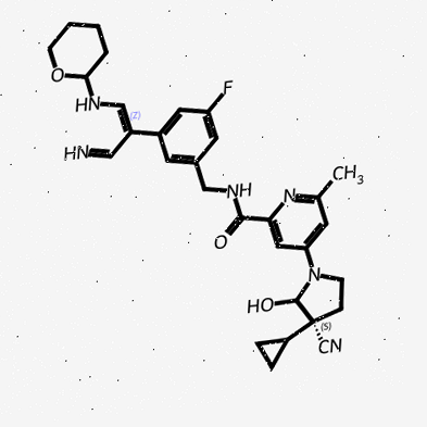 Cc1cc(N2CC[C@@](C#N)(C3CC3)C2O)cc(C(=O)NCc2cc(F)cc(/C(C=N)=C/NC3CCCCO3)c2)n1